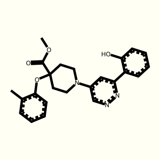 COC(=O)C1(Oc2ccccc2C)CCN(c2cnnc(-c3ccccc3O)c2)CC1